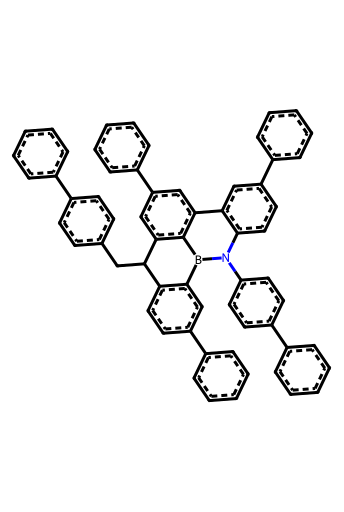 c1ccc(-c2ccc(CC3c4ccc(-c5ccccc5)cc4B4c5c(cc(-c6ccccc6)cc53)-c3cc(-c5ccccc5)ccc3N4c3ccc(-c4ccccc4)cc3)cc2)cc1